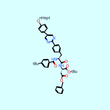 CCCCCCCOc1ccc(-c2cnc(-c3ccc(C[C@H](NC(=O)c4ccc(C(C)(C)C)cc4)C(=O)N[C@@H](CC(=O)OCc4ccccc4)C(=O)OC(C)(C)C)cc3)nc2)cc1